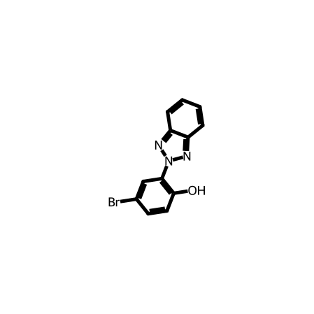 Oc1ccc(Br)cc1-n1nc2ccccc2n1